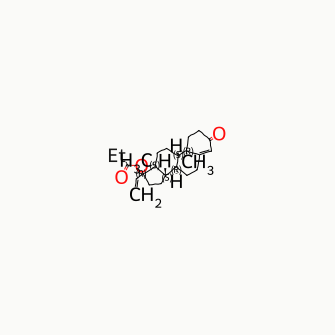 C=C[C@]1(OC(=O)CC)CC[C@H]2[C@@H]3CCC4=CC(=O)CC[C@]4(C)[C@H]3CC[C@@]21C